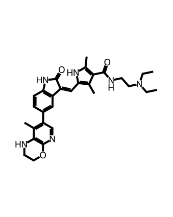 CCN(CC)CCNC(=O)c1c(C)[nH]c(C=C2C(=O)Nc3ccc(-c4cnc5c(c4C)NCCO5)cc32)c1C